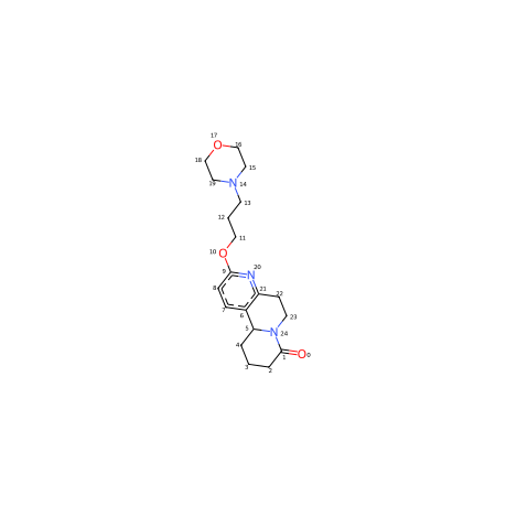 O=C1CCCC2c3ccc(OCCCN4CCOCC4)nc3CCN12